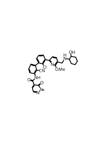 COc1nc(-c2cccc(-c3cccc(NC(=O)c4ccnn(C)c4=O)c3C#N)c2Cl)ccc1CNC1CCCCC1O